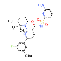 CC(C)COc1cc(F)cc(-c2ccc(C(=O)NS(=O)(=O)c3cccc(N)n3)c(N3CCCC(C)C3(C)C)n2)c1